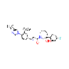 COc1cc(/C=C/C(=O)N2CCCCC(O)(c3ccc(F)cc3)C2)ccc1-n1cnc(C)c1